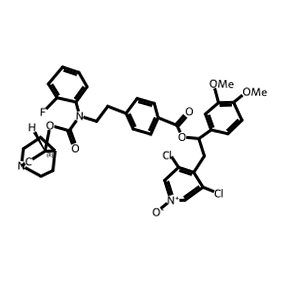 COc1ccc(C(Cc2c(Cl)c[n+]([O-])cc2Cl)OC(=O)c2ccc(CCN(C(=O)O[C@H]3CN4CCC3CC4)c3ccccc3F)cc2)cc1OC